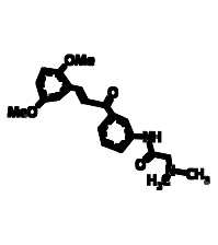 COc1ccc(OC)c(C=CC(=O)c2cccc(NC(=O)CN(C)C)c2)c1